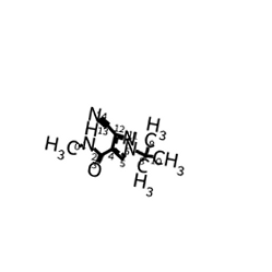 CNC(=O)c1cn(C(C)(C)C)nc1C#N